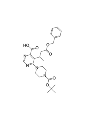 CC(CC(=O)OCc1ccccc1)c1c(C(=O)O)ncnc1N1CCN(C(=O)OC(C)(C)C)CC1